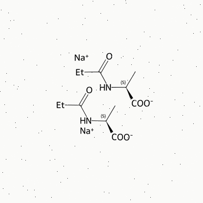 CCC(=O)N[C@@H](C)C(=O)[O-].CCC(=O)N[C@@H](C)C(=O)[O-].[Na+].[Na+]